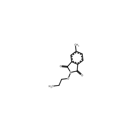 CCCON1C(=O)c2ccc(C)cc2C1=O